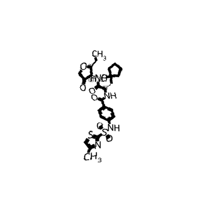 CC[C@@H]1OCC(=O)[C@H]1NC(=O)[C@H](CC1(C)CCCC1)NC(=O)c1ccc(NS(=O)(=O)c2nc(C)cs2)cc1